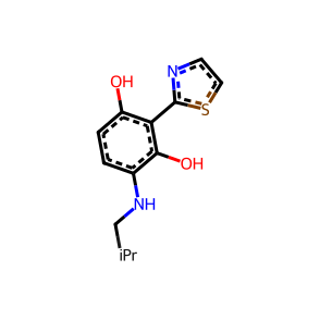 CC(C)CNc1ccc(O)c(-c2nccs2)c1O